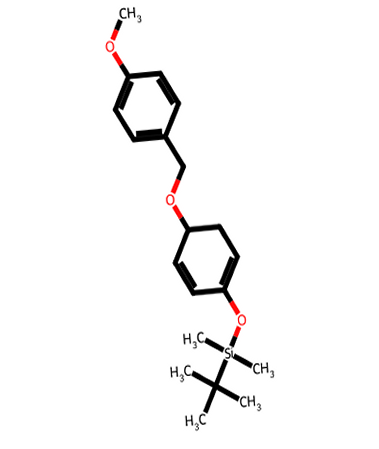 COc1ccc(COC2C=CC(O[Si](C)(C)C(C)(C)C)=CC2)cc1